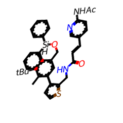 CC(=O)Nc1ccc(C=CC(=O)NCc2sccc2-c2cc(CO[SiH](c3ccccc3)c3ccccc3)c(C)c(C(C)(C)C)c2C)cn1